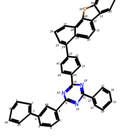 c1ccc(-c2cccc(-c3nc(-c4ccccc4)nc(-c4ccc(-c5cccc6c5ccc5c7ccccc7sc65)cc4)n3)c2)cc1